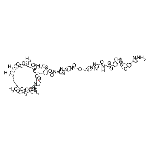 CO[C@H]1CC2CC[C@@H](C)[C@@](O)(O2)C(=O)C(=O)N2CCCC[C@H]2C(=O)O[C@H](CC[C@@H]2CC[C@@H](OC(=O)NCc3cnc(N4CCN(C(=O)CCOCCN5CCN(c6ncc(C(=O)NCCS(=O)(=O)c7ccc(C(=O)N8CCOc9ccc(-c%10ccc(N)nc%10)cc9C8)c(C)c7)cn6)CC5)CC4)nc3)[C@H](OC)C2)CC(=O)[C@H](C)/C=C(\C)[C@@H](O)CC(=O)[C@H](C)C[C@H](C)/C=C/C=C/C=C/1C